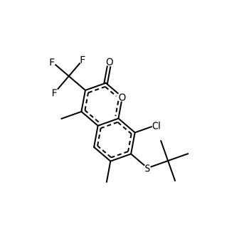 Cc1cc2c(C)c(C(F)(F)F)c(=O)oc2c(Cl)c1SC(C)(C)C